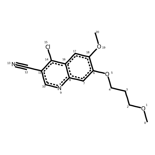 COCCCOc1cc2ncc(C#N)c(Cl)c2cc1OC